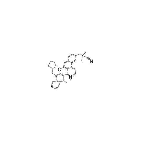 Cc1c2c(c(CC3CCCC3)c3ccccc13)Oc1cc3ccc(CC(C)(C)C#N)cc3c3cc[n+](C)c-2c13